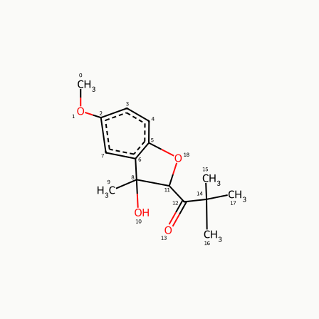 COc1ccc2c(c1)C(C)(O)C(C(=O)C(C)(C)C)O2